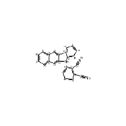 N#Cc1cccc(-n2c3ccccc3c3cc4ccccc4cc32)c1C#N